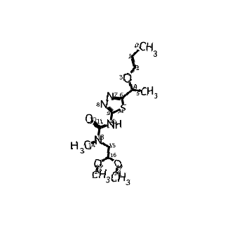 CCCOC(C)c1nnc(NC(=O)N(C)CC(OC)OC)s1